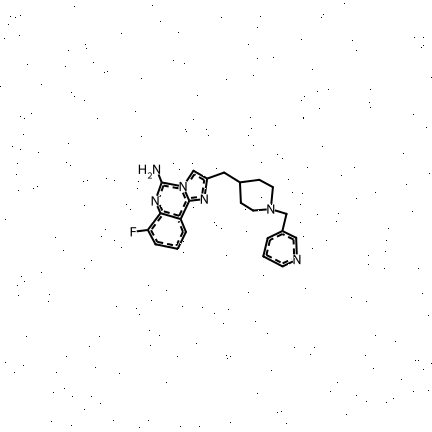 Nc1nc2c(F)cccc2c2nc(CC3CCN(Cc4cccnc4)CC3)cn12